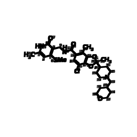 CSc1cc(C)[nH]c(=O)c1CNC(=O)c1cc(Cl)c2c(c1C)O[C@@](C)(C1CCN(CC3CCOCC3)CC1)O2